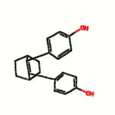 Oc1ccc(C2=C(c3ccc(O)cc3)C3CCC2CC3)cc1